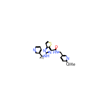 COc1ccc(CNC(=O)c2nc(N[C@@H](C)c3cccnc3)nc3ccsc23)cn1